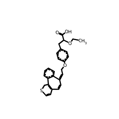 CCOC(Cc1ccc(OC/C=C2/C=CC3=C(CSC=C3)c3ccccc32)cc1)C(=O)O